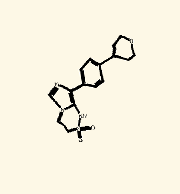 O=S1(=O)CCn2cnc(-c3ccc(C4CCOCC4)cc3)c2N1